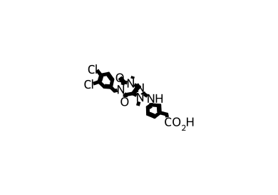 Cn1c(Nc2cccc(CC(=O)O)c2)nc2c1c(=O)n(Cc1ccc(Cl)c(Cl)c1)c(=O)n2C